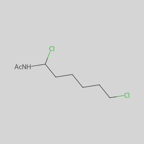 CC(=O)NC(Cl)CCCCCCl